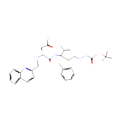 CC(C)[C@](Cc1ccccc1)(NC(=O)[C@H](CC(N)=O)NCc1ccc2ccccc2n1)[C@H](O)CNNC(=O)OC(C)(C)C